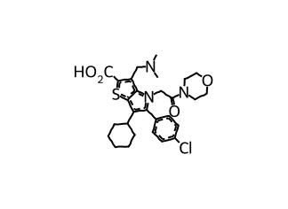 CN(C)Cc1c(C(=O)O)sc2c(C3CCCCC3)c(-c3ccc(Cl)cc3)n(CC(=O)N3CCOCC3)c12